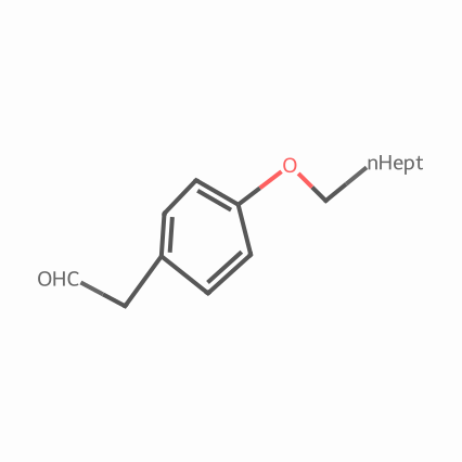 CCCCCCCCOc1ccc(CC=O)cc1